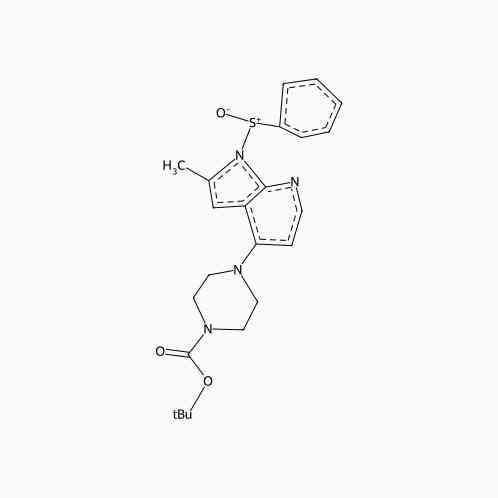 Cc1cc2c(N3CCN(C(=O)OC(C)(C)C)CC3)ccnc2n1[S+]([O-])c1ccccc1